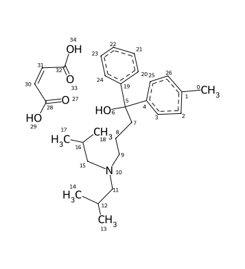 Cc1ccc(C(O)(CCCN(CC(C)C)CC(C)C)c2ccccc2)cc1.O=C(O)/C=C\C(=O)O